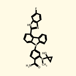 CN(c1cc(-n2c3ccccc3c3c(-c4nc5ccc(F)cc5[nH]4)cccc32)ccc1C(N)=O)C1(O)CC1